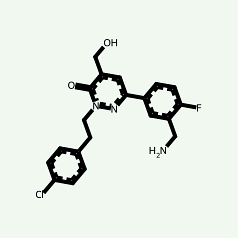 NCc1cc(-c2cc(CO)c(=O)n(CCc3ccc(Cl)cc3)n2)ccc1F